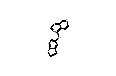 c1cc2c(Nc3ccc4sccc4c3)ncnc2cn1